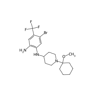 COC1(N2CCC(Nc3cc(Br)c(C(F)(F)F)cc3N)CC2)CCCCC1